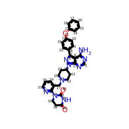 Nc1ncnc2c1c(-c1ccc(Oc3ccccc3)cc1)nn2C1CCN(Cc2cccnc2N2CCC(=O)NC2=O)CC1